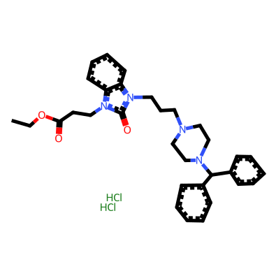 CCOC(=O)CCn1c(=O)n(CCCN2CCN(C(c3ccccc3)c3ccccc3)CC2)c2ccccc21.Cl.Cl